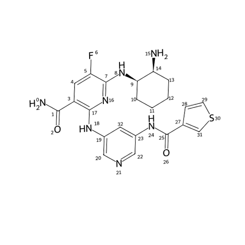 NC(=O)c1cc(F)c(N[C@@H]2CCCC[C@@H]2N)nc1Nc1cncc(NC(=O)c2ccsc2)c1